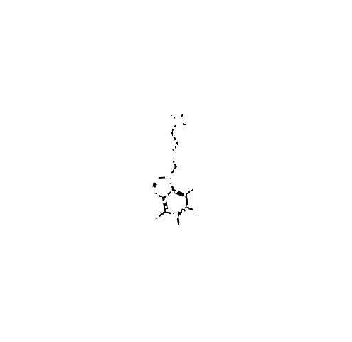 C[Si](C)(C)CCOCn1nnc2c(I)c(N)c(F)c(Cl)c21